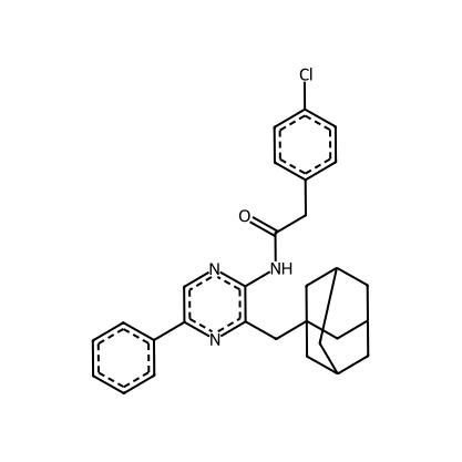 O=C(Cc1ccc(Cl)cc1)Nc1ncc(-c2ccccc2)nc1CC12CC3CC(CC(C3)C1)C2